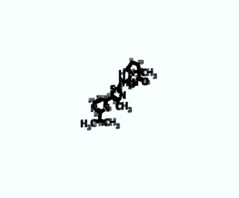 Cc1nc(NC(=O)N2CCC[C@@]2(C)C(N)=O)sc1-c1ccnc(C(C)C)n1